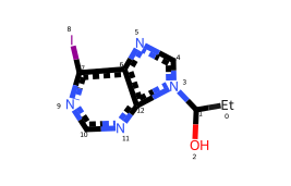 CCC(O)n1cnc2c(I)ncnc21